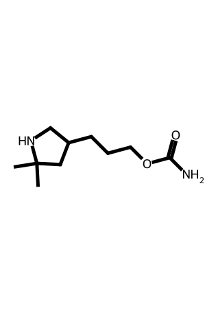 CC1(C)CC(CCCOC(N)=O)CN1